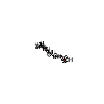 CN(CCCCC(=O)Nc1ccc(CNC[C@H](O[Si](C)(C)C(C)(C)C)c2ccc(O[Si](C)(C)C(C)(C)C)c3[nH]c(=O)sc23)cc1)C(=O)CCN1CCC2(CC1)CC(OC(C(=O)O)(c1cccs1)c1cccs1)C2